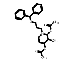 CC(=O)OC1CCN(CCCOC(c2ccccc2)c2ccccc2)C(OC(C)=O)C1C